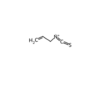 C=CC[N+]=C=S